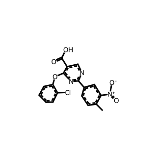 Cc1ccc(-c2ncc(C(=O)O)c(Oc3ccccc3Cl)n2)cc1[N+](=O)[O-]